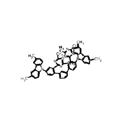 Cc1ccc2c(c1)c1cc(C)ccc1n2-c1ccc(-c2cccc(-c3ccc(-n4c5ccc(C)cc5c5cc(C)ccc54)c(-c4nc(C)nc(C)n4)c3)c2)c(-c2nc(C)nc(C)n2)c1